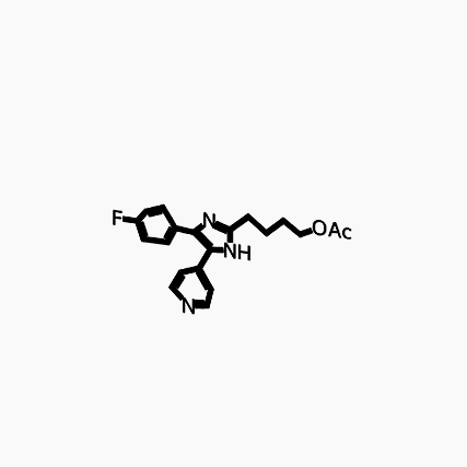 CC(=O)OCCCCc1nc(-c2ccc(F)cc2)c(-c2ccncc2)[nH]1